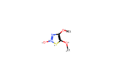 CCOc1n[n+]([O-])sc1OCC